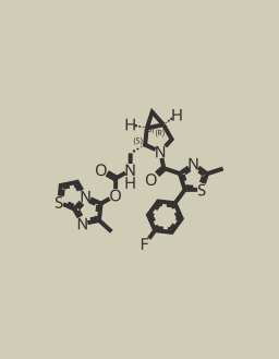 Cc1nc(C(=O)N2C[C@@H]3C[C@@H]3[C@H]2CNC(=O)Oc2c(C)nc3sccn23)c(-c2ccc(F)cc2)s1